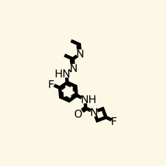 C/C=N\C(C)=N\Nc1cc(NC(=O)N2CC(F)C2)ccc1F